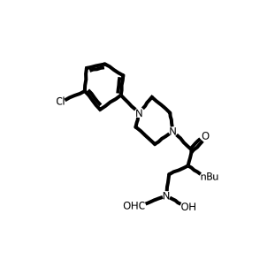 CCCCC(CN(O)C=O)C(=O)N1CCN(c2cccc(Cl)c2)CC1